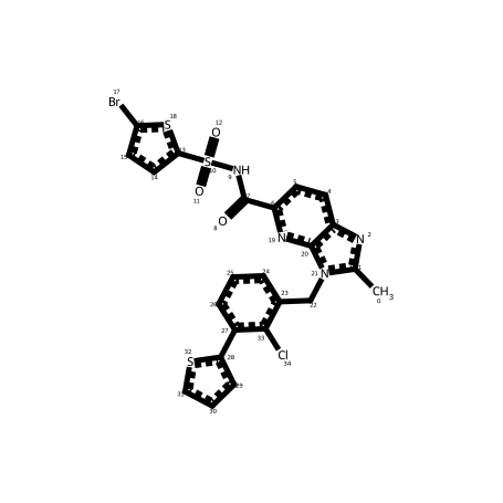 Cc1nc2ccc(C(=O)NS(=O)(=O)c3ccc(Br)s3)nc2n1Cc1cccc(-c2cccs2)c1Cl